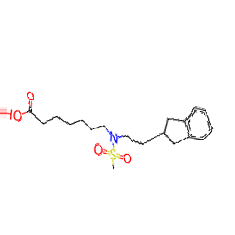 CS(=O)(=O)N(CCCCCCC(=O)O)CCC1Cc2ccccc2C1